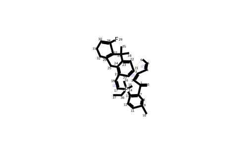 C=C(/C=C\C=C/C)c1cc(C)ccc1P(C)(C)(/C=C\c1cccc2c1CC1=C(C(F)=CCC1)C2(C)C)CC